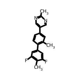 Cc1ncc(-c2ccc(-c3cc(F)c(C)c(F)c3)c(C)c2)cn1